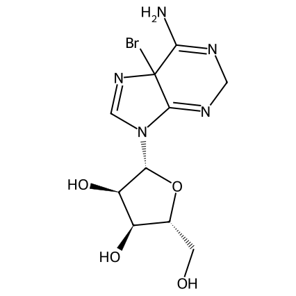 NC1=NCN=C2N([C@@H]3O[C@H](CO)[C@@H](O)[C@H]3O)C=NC12Br